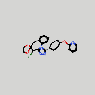 ClC1c2nnc([C@H]3CC[C@H](Oc4ccccn4)CC3)n2-c2ccccc2CC12OCCO2